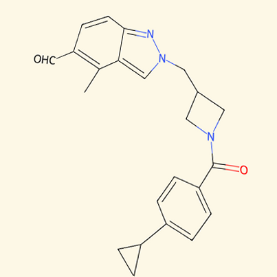 Cc1c(C=O)ccc2nn(CC3CN(C(=O)c4ccc(C5CC5)cc4)C3)cc12